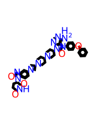 Cn1c(=O)n(C2CCC(=O)NC2=O)c2ccc(N3CC(N4CCC(N5CCC(n6c(=O)n(-c7ccc(Oc8ccccc8)cc7)c7c(N)ncnc76)CC5)CC4)C3)cc21